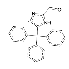 O=Cc1n[c]c(C(c2ccccc2)(c2ccccc2)c2ccccc2)[nH]1